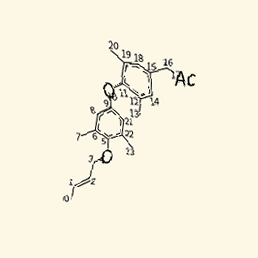 C/C=C/COc1c(C)cc(Oc2c(C)cc(CC(C)=O)cc2C)cc1C